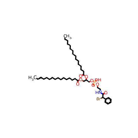 CCCCCCCCCCCCCCCC(=O)OCC(COP(=O)(O)OCCNC(=O)C(Br)c1ccccc1)OC(=O)CCCCCCCCCCCCCCC